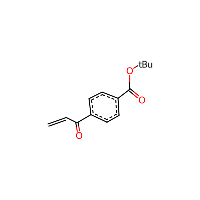 C=CC(=O)c1ccc(C(=O)OC(C)(C)C)cc1